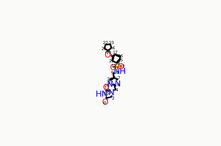 O=C1CN(Cc2ncc(CNS(=O)(=O)c3cccc(OC4CCCC4)c3)cn2)C(=O)N1